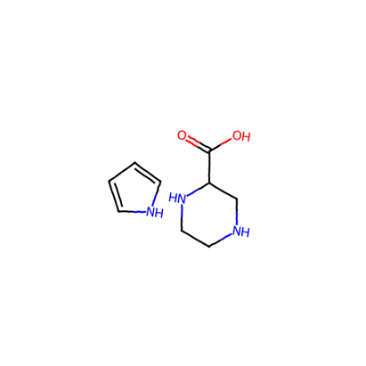 O=C(O)C1CNCCN1.c1cc[nH]c1